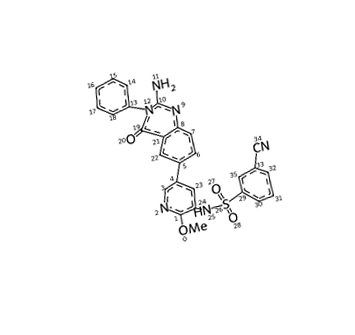 COc1ncc(-c2ccc3nc(N)n(-c4ccccc4)c(=O)c3c2)cc1NS(=O)(=O)c1cccc(C#N)c1